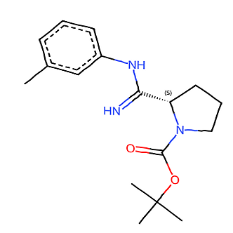 Cc1cccc(NC(=N)[C@@H]2CCCN2C(=O)OC(C)(C)C)c1